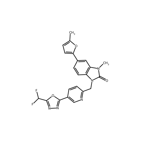 Cc1ccc(-c2ccc3c(c2)n(C)c(=O)n3Cc2ccc(-c3nnc(C(F)F)o3)cn2)o1